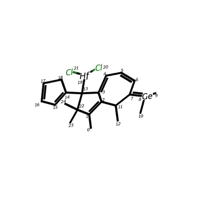 CC1=C2C(=CC=C[C](=[Ge]([CH3])[CH3])C2C)[C](C2=CC=CC2)([Hf]([Cl])[Cl])C1(C)C